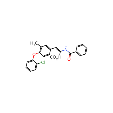 Cc1cc(/C=C(/NC(=O)c2ccccc2)C(=O)O)ccc1Oc1ccccc1Cl